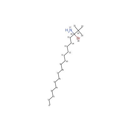 CCCCCCCCCCCCCCCCC(N)(Br)C(C)(C)C